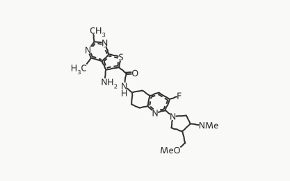 CNC1CN(c2nc3c(cc2F)CC(NC(=O)c2sc4nc(C)nc(C)c4c2N)CC3)CC1COC